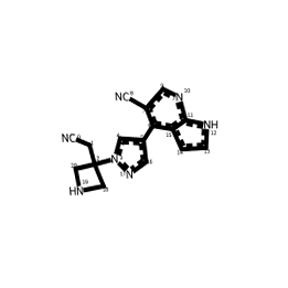 N#CCC1(n2cc(-c3c(C#N)cnc4[nH]ccc34)cn2)CNC1